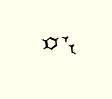 NCC(=O)OC(=O)Nc1ccc(F)c([N+](=O)[O-])c1